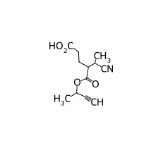 C#CC(C)OC(=O)C(CCC(=O)O)C(C)C#N